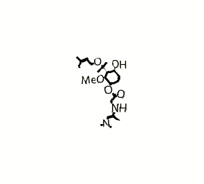 CO[C@H]1[C@H](C(C)(C)OCC=C(C)C)[C@H](O)CC[C@H]1OC(=O)CNC(C)CN(C)C